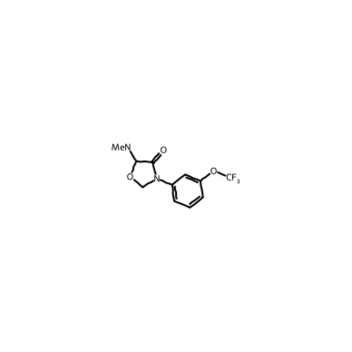 CNC1OCN(c2cccc(OC(F)(F)F)c2)C1=O